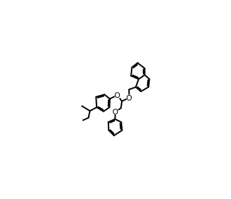 CCC(C)c1ccc(OC(COc2ccccc2)OCc2cccc3ccccc23)cc1